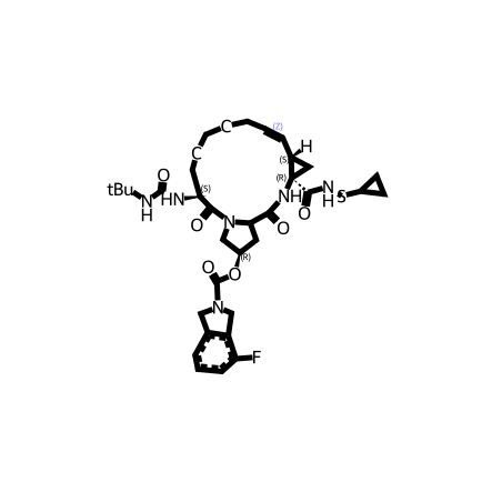 CC(C)(C)NC(=O)N[C@H]1CCCCC/C=C\[C@@H]2C[C@@]2(C(=O)NSC2CC2)NC(=O)C2C[C@@H](OC(=O)N3Cc4cccc(F)c4C3)CN2C1=O